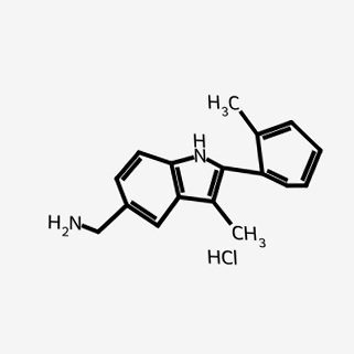 Cc1ccccc1-c1[nH]c2ccc(CN)cc2c1C.Cl